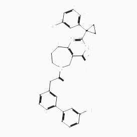 O=C(Cc1cccc(-c2cccc(Cl)c2)c1)N1CCCc2nc(C3(c4cccc(Br)c4)CC3)[nH]c(=O)c2C1